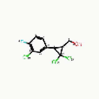 OCC1C(c2ccc(F)c(Cl)c2)C1(Cl)Cl